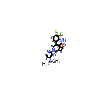 CN(C)c1ccnc2c1nc(C1CCC1)n2Cc1cc(=O)[nH]c2c(F)c(F)ccc12